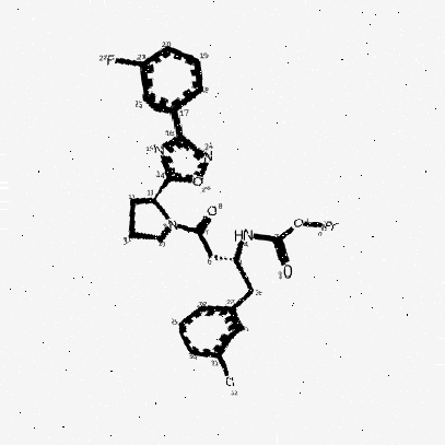 CC(C)OC(=O)N[C@@H](CC(=O)N1CCC[C@H]1c1nc(-c2cccc(F)c2)no1)Cc1cccc(Cl)c1